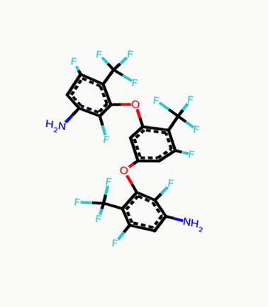 Nc1cc(F)c(C(F)(F)F)c(Oc2cc(F)c(C(F)(F)F)c(Oc3c(F)c(N)cc(F)c3C(F)(F)F)c2)c1F